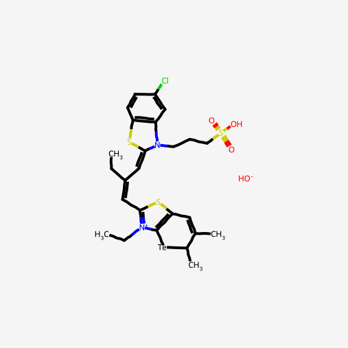 CCC(=Cc1sc2c([n+]1CC)[Te]C(C)C(C)=C2)C=C1Sc2ccc(Cl)cc2N1CCCS(=O)(=O)O.[OH-]